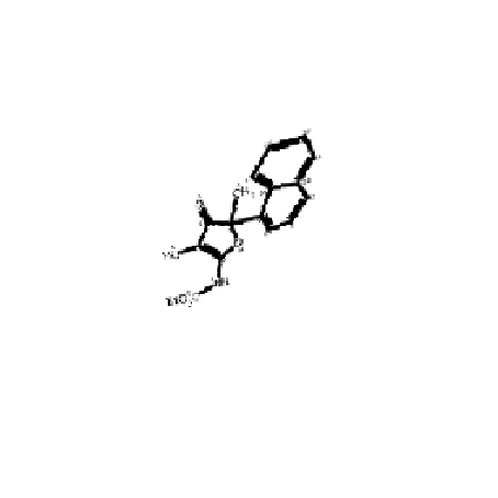 CCOC(=O)NC1=C(O)C(=O)C(C)(c2cccc3ccccc23)O1